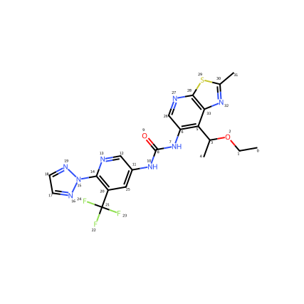 CCOC(C)c1c(NC(=O)Nc2cnc(-n3nccn3)c(C(F)(F)F)c2)cnc2sc(C)nc12